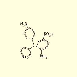 Nc1ccc(Cc2ccncc2)cc1.Nc1ccc(S(=O)(=O)O)cc1